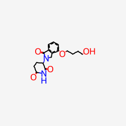 O=C1CCC(N2Cc3c(OCCCCO)cccc3C2=O)C(=O)N1